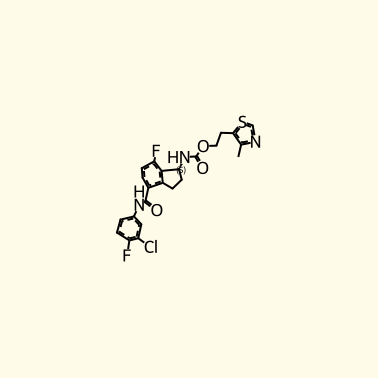 Cc1ncsc1CCOC(=O)N[C@H]1CCc2c(C(=O)Nc3ccc(F)c(Cl)c3)ccc(F)c21